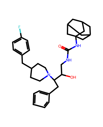 O=C(NCC(O)C(Cc1ccccc1)N1CCC(Cc2ccc(F)cc2)CC1)NC12CC3CC(CC(C3)C1)C2